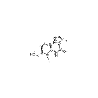 Cc1cnn2c1c(=O)[nH]c1c(F)c(CO)ccc12